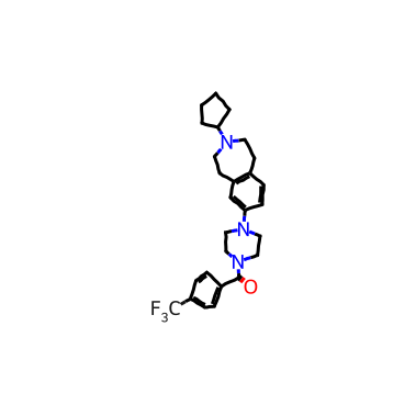 O=C(c1ccc(C(F)(F)F)cc1)N1CCN(c2ccc3c(c2)CCN(C2CCCC2)CC3)CC1